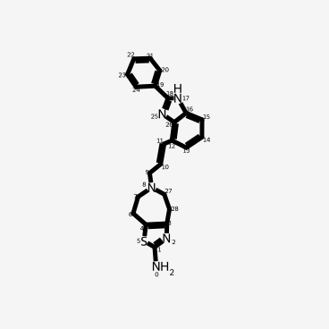 Nc1nc2c(s1)CCN(CC=Cc1cccc3[nH]c(-c4ccccc4)nc13)CC2